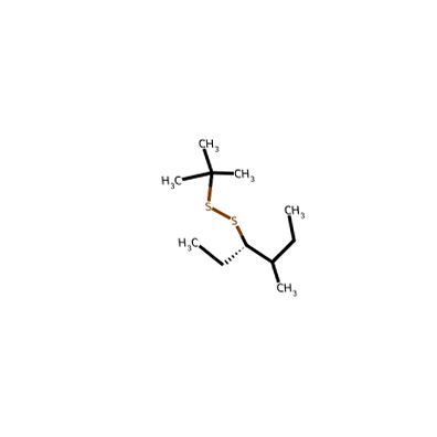 CCC(C)[C@H](CC)SSC(C)(C)C